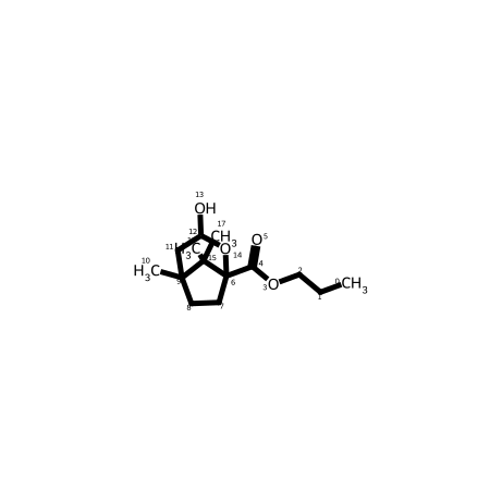 CCCOC(=O)C12CCC(C)(CC(O)O1)C2(C)C